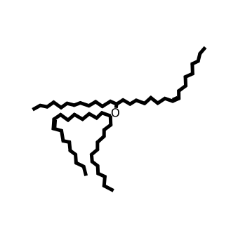 CCCCCCCC/C=C\CCCCCCCC(CCCCCCCCCCCC)OC(CCCCCCC/C=C\CCCCCCCC)CCCCCCCCCCCC